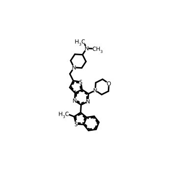 Cc1sc2ccccc2c1-c1nc(N2CCOCC2)c2sc(CN3CCC(N(C)C)CC3)cc2n1